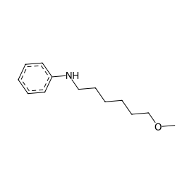 COCCCCCCNc1ccccc1